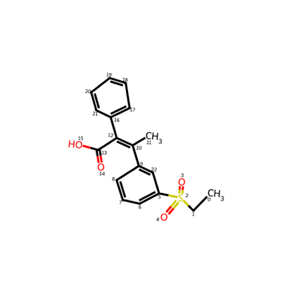 CCS(=O)(=O)c1cccc(C(C)=C(C(=O)O)c2ccccc2)c1